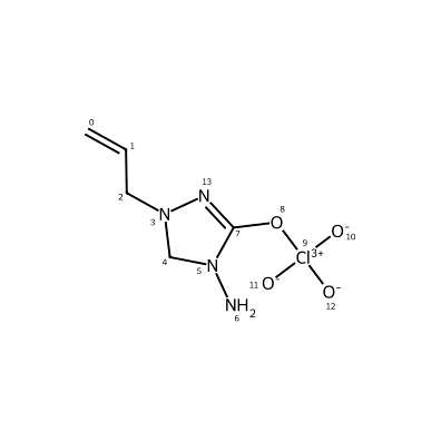 C=CCN1CN(N)C(O[Cl+3]([O-])([O-])[O-])=N1